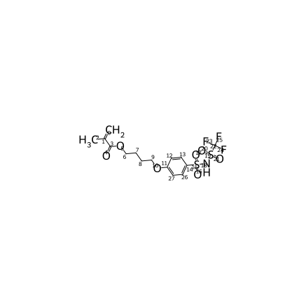 C=C(C)C(=O)OCCCCOc1ccc(S(=O)(=O)NS(=O)(=O)C(F)(F)F)cc1